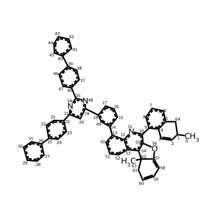 CC1C=Cc2c(cccc2-c2nc3c(-c4cccc(-c5cc(-c6ccc(-c7ccccc7)cc6)nc(-c6ccc(-c7ccccc7)cc6)n5)c4)cccc3c3c2OC2=CC=CCC23C)C1